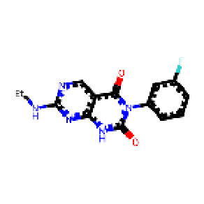 CCNc1ncc2c(=O)n(-c3cccc(F)c3)c(=O)[nH]c2n1